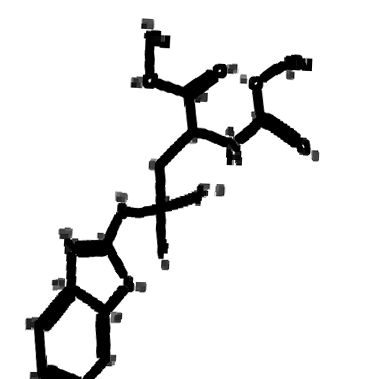 CC(C)(C)OC(=O)NC(CC(F)(F)Sc1nc2ccccc2s1)C(=O)OC(C)(C)C